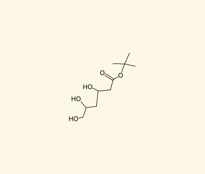 CC(C)(C)OC(=O)CC(O)CC(O)CO